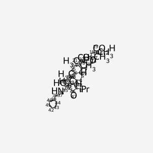 CC(C)C1=C2[C@H]3CC[C@@H]4[C@@]5(C)CC[C@H](OC(=O)CC(C)(C)C(=O)O)C(C)(C)C5CC[C@@]4(C)[C@]3(C)CC[C@@]2([C@@H](O)CNCCc2ccccc2)CC1=O